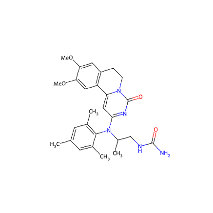 COc1cc2c(cc1OC)-c1cc(N(c3c(C)cc(C)cc3C)C(C)CNC(N)=O)nc(=O)n1CC2